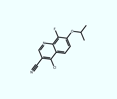 CC(C)Oc1ccc2c(Cl)c(C#N)cnc2c1F